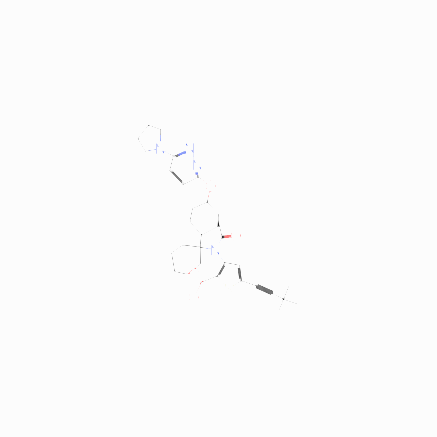 CC(=O)N(c1cc(C#CC(C)(C)C)sc1C(=O)O)C1(C2CCC(Oc3ccc(N4CCCC4)nn3)CC2)CCCCC1